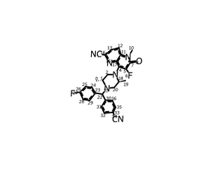 C[C@@H]1CN(c2c(F)c(=O)n(C)c3ccc(C#N)nc23)[C@@H](C)CN1C(c1ccc(F)cc1)c1ccc(C#N)cc1